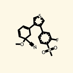 COC1(C#N)C=CC=C(c2cscc2-c2ccc(S(C)(=O)=O)c(F)c2)C1